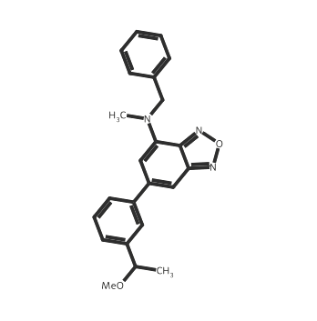 COC(C)c1cccc(-c2cc(N(C)Cc3ccccc3)c3nonc3c2)c1